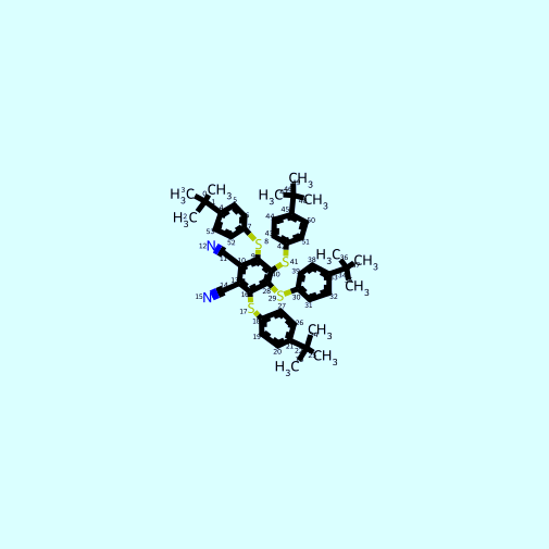 CC(C)(C)c1ccc(Sc2c(C#N)c(C#N)c(Sc3ccc(C(C)(C)C)cc3)c(Sc3ccc(C(C)(C)C)cc3)c2Sc2ccc(C(C)(C)C)cc2)cc1